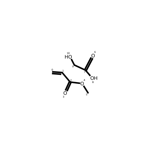 C=CC(=O)OC.O=C(O)CO